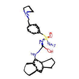 NS(=O)(=NC(O)Nc1c2c(cc3c1CCC3)CCC2)c1ccc(CN2CCC2)cc1